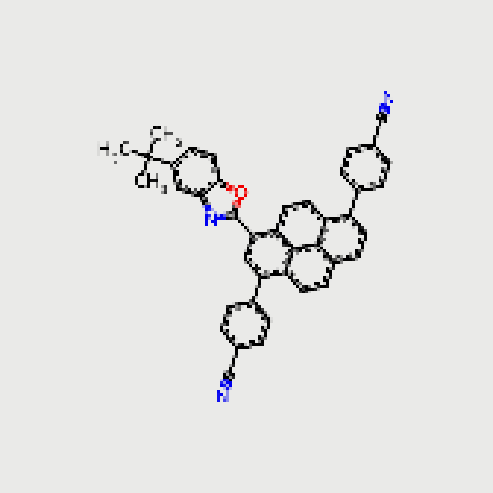 CC(C)(C)c1ccc2oc(-c3cc(-c4ccc(C#N)cc4)c4ccc5ccc(-c6ccc(C#N)cc6)c6ccc3c4c56)nc2c1